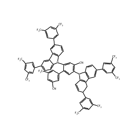 N#Cc1cc(-c2cc(-n3c4c(c5cc(-c6cc(C(F)(F)F)cc(C(F)(F)F)c6)ccc53)CC(c3cc(C(F)(F)F)cc(C(F)(F)F)c3)C=C4)c(C#N)cc2-n2c3ccc(-c4cc(C(F)(F)F)cc(C(F)(F)F)c4)cc3c3cc(-c4cc(C(F)(F)F)cc(C(F)(F)F)c4)ccc32)cc(C(F)(F)F)c1